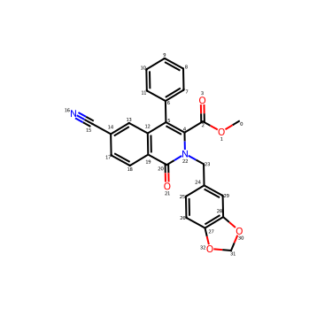 COC(=O)c1c(-c2ccccc2)c2cc(C#N)ccc2c(=O)n1Cc1ccc2c(c1)OCO2